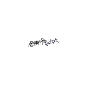 CC/C=C\C/C=C\C/C=C\C/C=C\C/C=C\CCC(CC)C(=O)NCCNC(=O)Nc1ccc(O)c(C(=O)O)c1